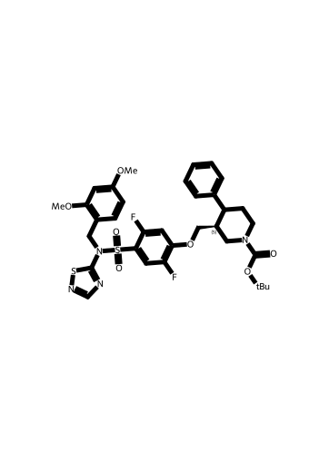 COc1ccc(CN(c2ncns2)S(=O)(=O)c2cc(F)c(OC[C@@H]3CN(C(=O)OC(C)(C)C)CCC3c3ccccc3)cc2F)c(OC)c1